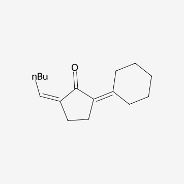 CCCCC=C1CCC(=C2CCCCC2)C1=O